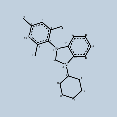 Cc1cc(C)c(N2CN(C3CCCCC3)c3ccccc32)c(C)n1